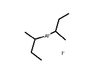 CC[CH](C)[Al+][CH](C)CC.[I-]